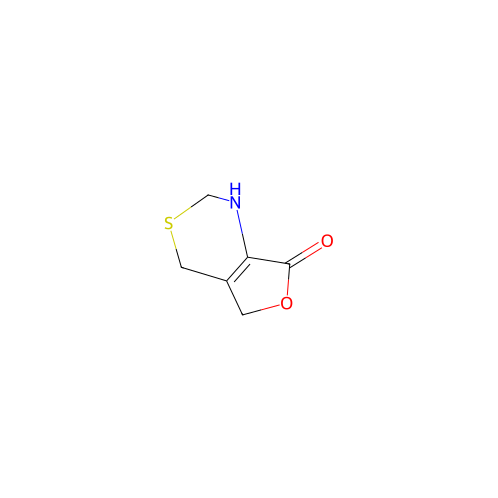 O=C1OCC2=C1NCSC2